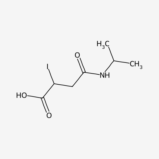 CC(C)NC(=O)CC(I)C(=O)O